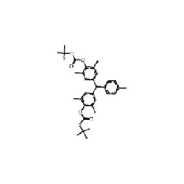 Cc1ccc(C(c2cc(C)c(OC(=O)OC(C)(C)C)c(C)c2)c2cc(C)c(OC(=O)OC(C)(C)C)c(C)c2)cc1